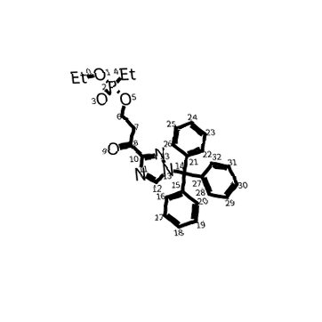 CCOP(=O)(CC)OCCC(=O)c1ncn(C(c2ccccc2)(c2ccccc2)c2ccccc2)n1